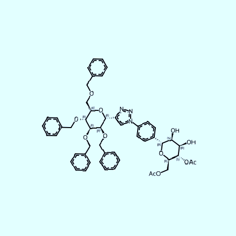 CC(=O)OC[C@H]1O[C@H](c2ccc(-n3cc([C@H]4O[C@H](COCc5ccccc5)[C@@H](OCc5ccccc5)[C@H](OCc5ccccc5)[C@@H]4OCc4ccccc4)nn3)cc2)[C@@H](O)[C@@H](O)[C@@H]1OC(C)=O